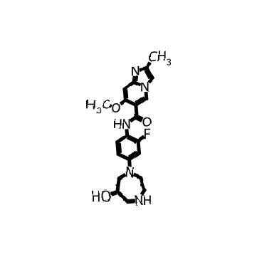 COc1cc2nc(C)cn2cc1C(=O)Nc1ccc(N2CCNCC(O)C2)cc1F